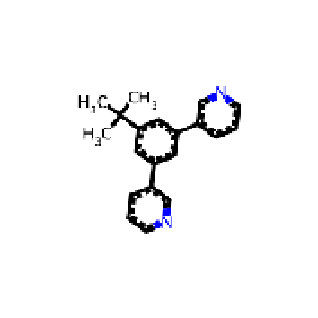 CC(C)(C)c1cc(-c2cccnc2)cc(-c2cccnc2)c1